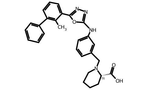 Cc1c(-c2ccccc2)cccc1-c1nnc(Nc2cccc(CN3CCCC[C@H]3C(=O)O)c2)o1